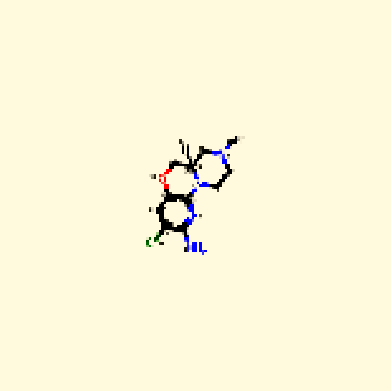 CC(C)N1CCN2c3nc(N)c(Cl)cc3OC[C@@H]2C1